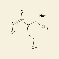 CCN(CCO)/[N+]([O-])=N\[O-].[Na+]